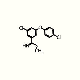 CSC(=N)c1cc(Cl)cc(Oc2ccc(Cl)cc2)c1